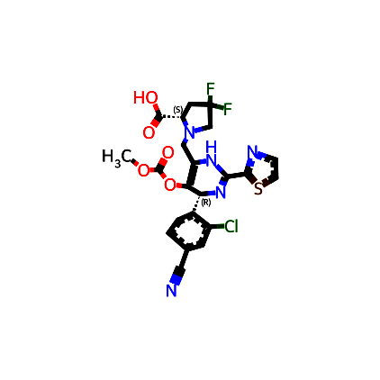 COC(=O)OC1=C(CN2CC(F)(F)C[C@H]2C(=O)O)NC(c2nccs2)=N[C@@H]1c1ccc(C#N)cc1Cl